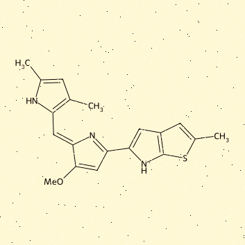 COC1=CC(c2cc3cc(C)sc3[nH]2)=NC1=Cc1[nH]c(C)cc1C